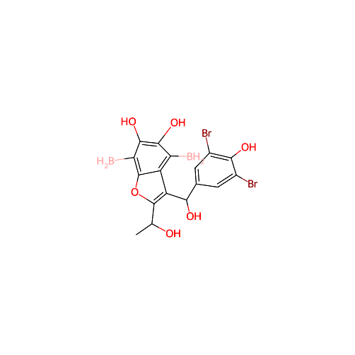 Bc1c(O)c(O)c(B)c2c(C(O)c3cc(Br)c(O)c(Br)c3)c(C(C)O)oc12